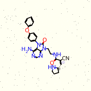 N#C/C(=C/[C@@H]1CCCN1)C(=O)NCCn1c(=O)n(-c2ccc(Oc3ccccc3)cc2)c2c(N)ncnc21